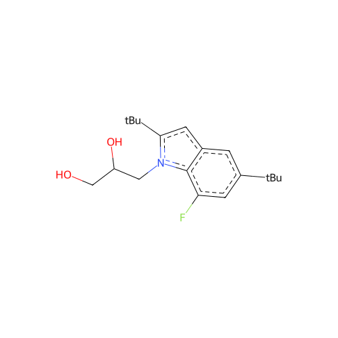 CC(C)(C)c1cc(F)c2c(c1)cc(C(C)(C)C)n2CC(O)CO